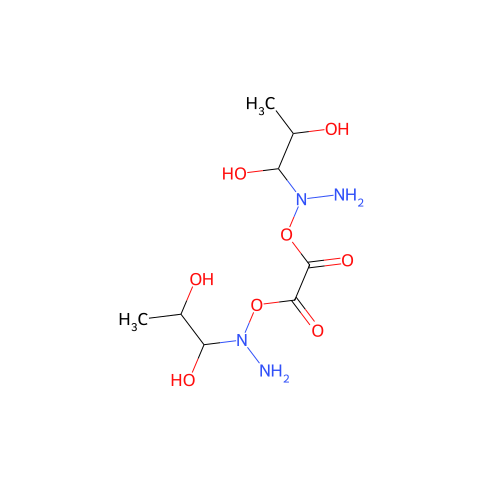 CC(O)C(O)N(N)OC(=O)C(=O)ON(N)C(O)C(C)O